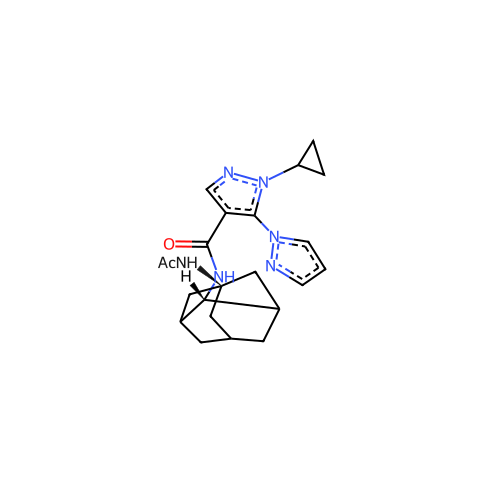 CC(=O)N[C@]12CC3CC(C1)[C@@H](NC(=O)c1cnn(C4CC4)c1-n1cccn1)C(C3)C2